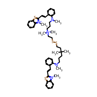 CN(CCCC(C)(C)CCSSCC[N+](C)(C)CCCN(C)c1ccccc1/C=C/c1sc2ccccc2[n+]1C)c1ccccc1/C=C/c1sc2ccccc2[n+]1C